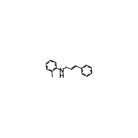 Cc1ccccc1NCC=Cc1ccccc1